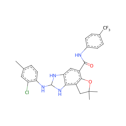 Cc1ccc(NC2Nc3cc(C(=O)Nc4ccc(C(F)(F)F)cc4)c4c(c3N2)CC(C)(C)O4)c(Cl)c1